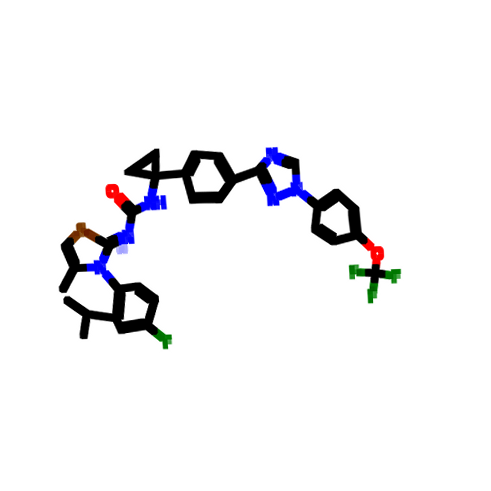 Cc1cs/c(=N\C(=O)NC2(c3ccc(-c4ncn(-c5ccc(OC(F)(F)F)cc5)n4)cc3)CC2)n1-c1ccc(F)cc1C(C)C